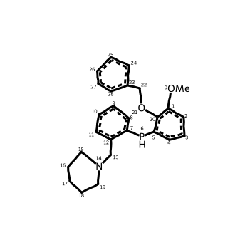 COc1cccc(Pc2ccccc2CN2CCCCC2)c1OCc1ccccc1